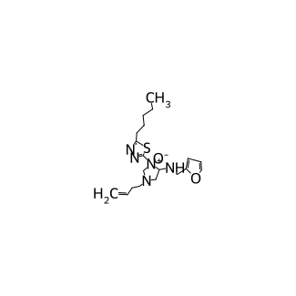 C=CCCN1CC(NCc2ccco2)[N+]([O-])(c2nnc(CCCCC)s2)C1